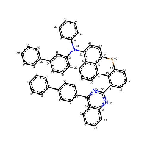 c1ccc(-c2ccc(-c3nc(-c4cccc5c4-c4cccc6c(N(c7ccccc7)c7cccc(-c8ccccc8)c7)ccc(c46)S5)nc4ccccc34)cc2)cc1